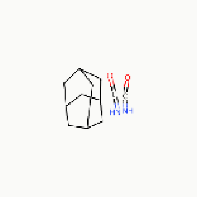 C1C2CC3CC1CC(C2)C3.N=C=O.N=C=O